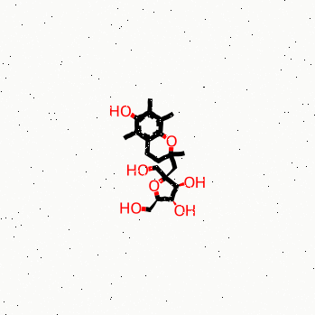 Cc1c(C)c2c(c(C)c1O)CCC(C)(C[C@]1(CO)O[C@H](CO)[C@@H](O)[C@@H]1O)O2